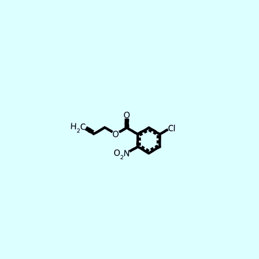 C=CCOC(=O)c1cc(Cl)ccc1[N+](=O)[O-]